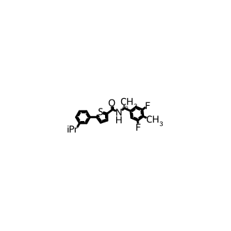 Cc1c(F)cc([C@@H](C)NC(=O)c2ccc(-c3cccc(C(C)C)c3)s2)cc1F